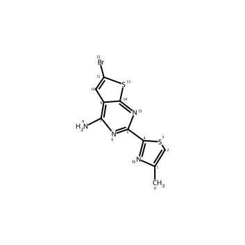 Cc1csc(-c2nc(N)c3cc(Br)sc3n2)n1